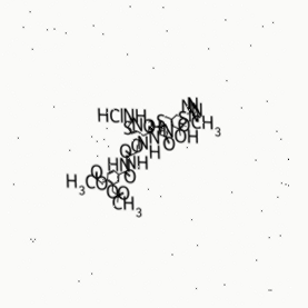 CC(=O)Oc1ccc(C(=O)NNC(=O)CON=C(C(=O)NC2C(=O)N3C(C(=O)O)=C(CSc4nnnn4C)CS[C@@H]23)c2csc(N)n2)cc1OC(C)=O.Cl